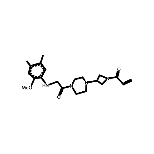 C=CC(=O)N1CC(N2CCN(C(=O)CNc3cc(C)c(C)cc3OC)CC2)C1